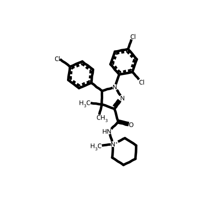 CC1(C)C(C(=O)N[N+]2(C)CCCCC2)=NN(c2ccc(Cl)cc2Cl)C1c1ccc(Cl)cc1